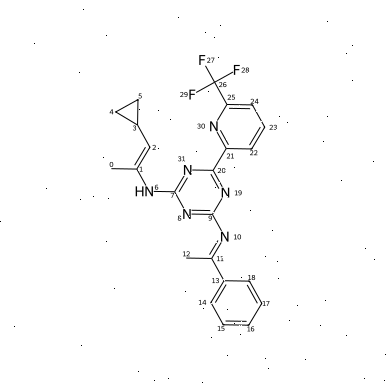 CC(=CC1CC1)Nc1nc(/N=C(\C)c2ccccc2)nc(-c2cccc(C(F)(F)F)n2)n1